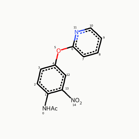 CC(=O)Nc1ccc(Oc2ccccn2)cc1[N+](=O)[O-]